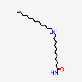 CCCCCCCCCCCC[N+](C)(C)CCCCCCCCCCC([NH])=O